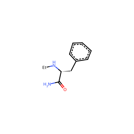 CCN[C@H](Cc1ccccc1)C(N)=O